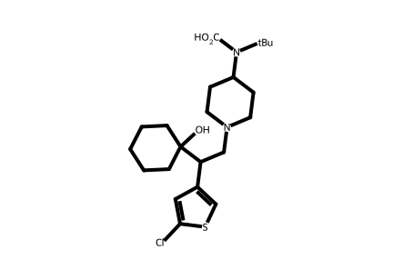 CC(C)(C)N(C(=O)O)C1CCN(CC(c2csc(Cl)c2)C2(O)CCCCC2)CC1